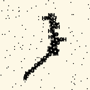 CC(=O)N[C@@H](CCCNC(=N)N)CNCC(=O)N[C@@H](CC(=O)O)c1ccc(-c2ccc(OCCOCCOCCOCCOCCN=[N+]=[N-])c3ccccc23)cc1